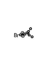 O=S(=O)(c1ccc(Br)cc1)c1ccc(-n2c3ccc(-c4ccccc4)cc3c3cc(-c4ccccc4)ccc32)cc1